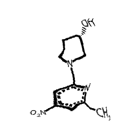 Cc1cc([N+](=O)[O-])cc(N2CC[C@H](O)C2)n1